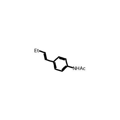 CC/C=C/c1ccc(NC(C)=O)cc1